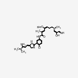 COC(=C/CCN(C)/C=C(/O)C=N)/C=C(\C)C(=O)Nc1ccc(Cl)c(C2=NC/C(=C\C=C(/N)N(C)C)N2)c1